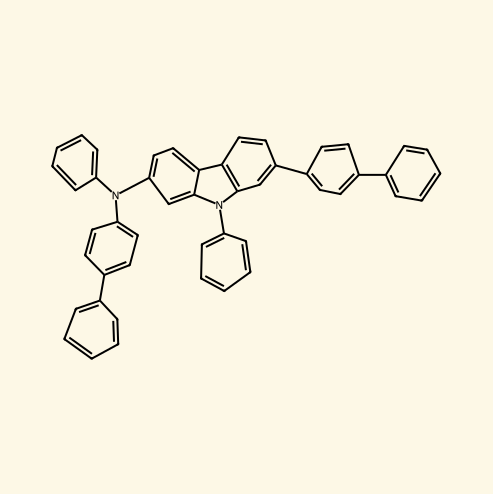 c1ccc(-c2ccc(-c3ccc4c5ccc(N(c6ccccc6)c6ccc(-c7ccccc7)cc6)cc5n(-c5ccccc5)c4c3)cc2)cc1